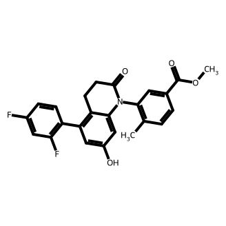 COC(=O)c1ccc(C)c(N2C(=O)CCc3c(-c4ccc(F)cc4F)cc(O)cc32)c1